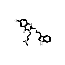 CN(C)CCCn1c(SCCc2c[nH]c3ccccc23)nc2ccc(Cl)cc2c1=O